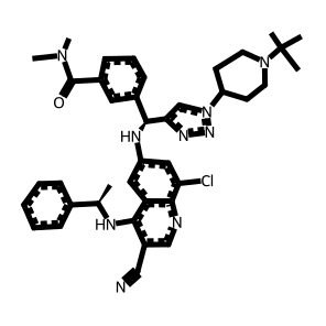 C[C@@H](Nc1c(C#N)cnc2c(Cl)cc(N[C@@H](c3cccc(C(=O)N(C)C)c3)c3cn(C4CCN(C(C)(C)C)CC4)nn3)cc12)c1ccccc1